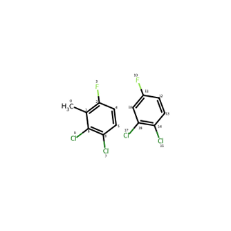 Cc1c(F)ccc(Cl)c1Cl.Fc1ccc(Cl)c(Cl)c1